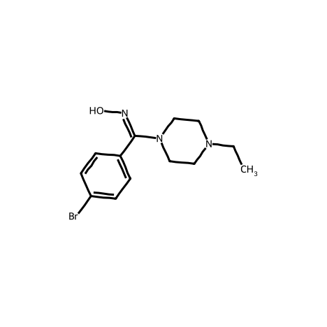 CCN1CCN(/C(=N/O)c2ccc(Br)cc2)CC1